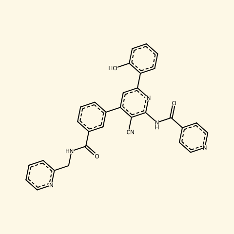 N#Cc1c(-c2cccc(C(=O)NCc3ccccn3)c2)cc(-c2ccccc2O)nc1NC(=O)c1ccncc1